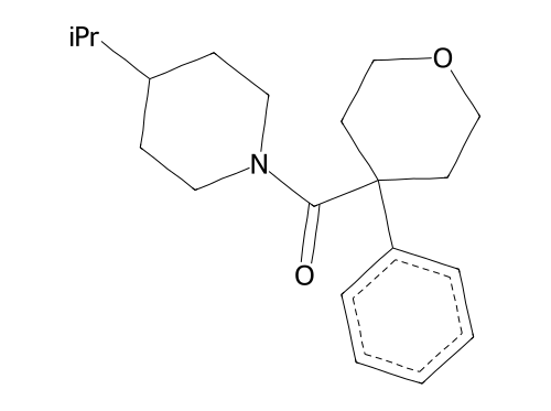 CC(C)C1CCN(C(=O)C2(c3ccccc3)CCOCC2)CC1